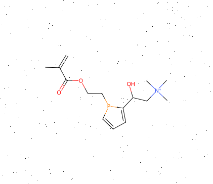 C=C(C)C(=O)OCCp1cccc1C(O)C[N+](C)(C)C